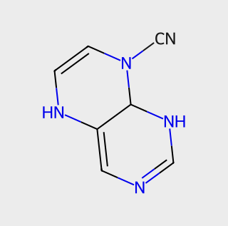 N#CN1C=CNC2=CN=CNC21